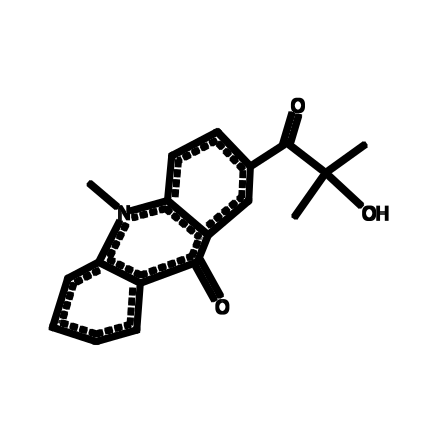 Cn1c2ccccc2c(=O)c2cc(C(=O)C(C)(C)O)ccc21